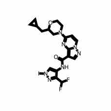 O=C(Nc1cn(I)nc1C(F)F)c1cnn2ccc(N3CCOC(CC4CC4)C3)nc12